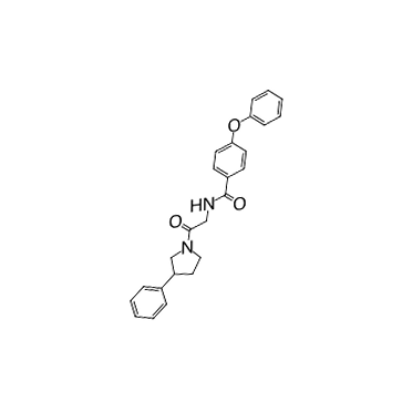 O=C(NCC(=O)N1CCC(c2ccccc2)C1)c1ccc(Oc2ccccc2)cc1